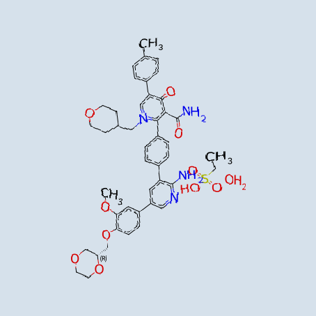 CCS(=O)(=O)O.COc1cc(-c2cnc(N)c(-c3ccc(-c4c(C(N)=O)c(=O)c(-c5ccc(C)cc5)cn4CC4CCOCC4)cc3)c2)ccc1OC[C@H]1COCCO1.O